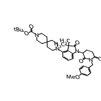 COc1ccc(CN2C(=O)CCC(N3C(=O)C(C)(C)c4c(N5CCC6(CCN(C(=O)OC(C)(C)C)CC6)CC5)cccc43)C2=O)cc1